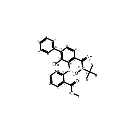 COC(=O)c1cccnc1Sc1c(C(=N)[S+]([O-])C(C)(C)C)ccc(-c2ccccc2)c1Cl